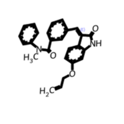 C=CCOc1ccc2c(c1)NC(=O)/C2=C/c1cccc(C(=O)N(C)c2ccccc2)c1